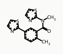 Cc1ccc(-c2nccs2)cc1C(=O)N(C)c1nccs1